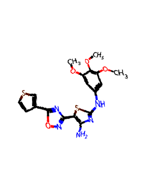 COc1cc(Nc2nc(N)c(-c3noc(-c4ccsc4)n3)s2)cc(OC)c1OC